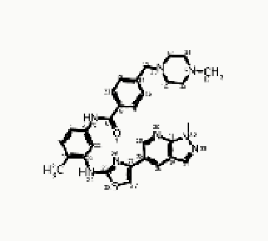 Cc1ccc(NC(=O)c2ccc(CN3CCN(C)CC3)cc2)cc1Nc1nc(-c2cnc3[nH]ncc3c2)cs1